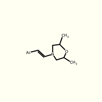 CC(=O)C=CN1CC(C)OC(C)C1